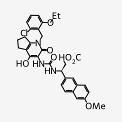 CCOc1cccc(Cl)c1Cn1c2c(c(O)c(NC(=O)N[C@@H](CC(=O)O)c3ccc4cc(OC)ccc4c3)c1=O)CCC2